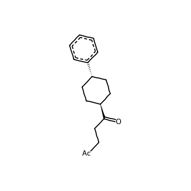 CC(=O)CCC(=O)[C@H]1CC[C@H](c2ccccc2)CC1